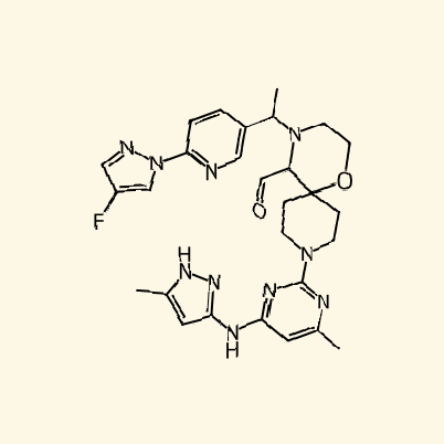 Cc1cc(Nc2cc(C)[nH]n2)nc(N2CCC3(CC2)OCCN(C(C)c2ccc(-n4cc(F)cn4)nc2)C3C=O)n1